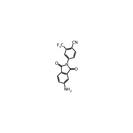 N#Cc1ccc(N2C(=O)c3ccc(N)cc3C2=O)cc1C(F)(F)F